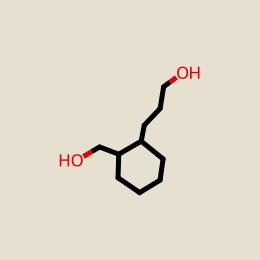 OCCCC1CCCCC1CO